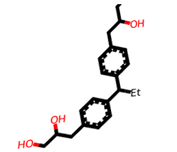 CCC(c1ccc(CC(O)CO)cc1)c1ccc(CC(O)CO)cc1